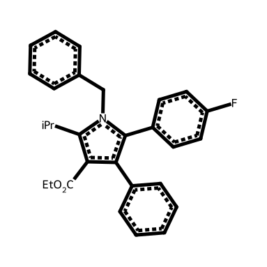 CCOC(=O)c1c(-c2ccccc2)c(-c2ccc(F)cc2)n(Cc2ccccc2)c1C(C)C